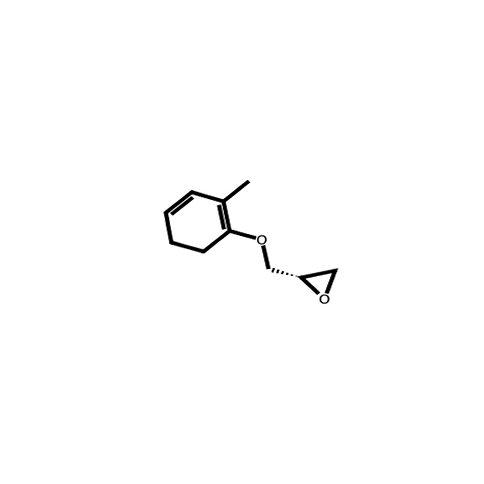 CC1=C(OC[C@@H]2CO2)CCC=C1